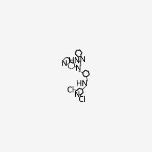 Clc1cc(CNCc2cccc(CN(Cc3nc4ccccc4[nH]3)C3C=C4C=CC=NC4CC3)c2)cc(Cl)n1